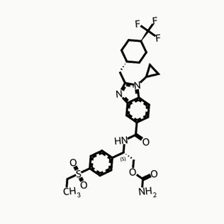 CCS(=O)(=O)c1ccc([C@@H](COC(N)=O)NC(=O)c2ccc3c(c2)nc(C[C@H]2CC[C@H](C(F)(F)F)CC2)n3C2CC2)cc1